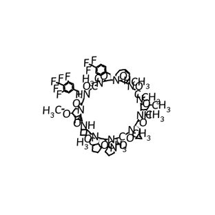 CCO[C@@H]1C[C@H]2C(=O)NC3(CCC3)C(=O)N(C)[C@@H](C3CCCC3)C(=O)N(C)[C@H](C(=O)N3CCCC3)CC(=O)N(C)[C@@H](CC3CC3)C(=O)N[C@@H]([C@@H](C)CC)C(=O)N(C)CC(=O)N(C)[C@H]3C/C=C\CCN(C3=O)[C@@H](Cc3ccc(C(F)(F)F)cc3)C(=O)N(C)CC(=O)N[C@@H](CCc3cc(F)c(C(F)(F)F)c(F)c3)C(=O)N2C1